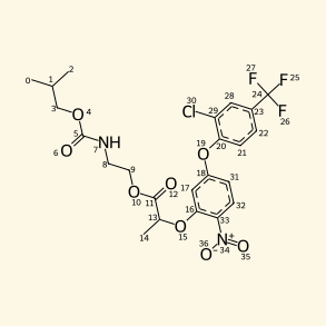 CC(C)COC(=O)NCCOC(=O)C(C)Oc1cc(Oc2ccc(C(F)(F)F)cc2Cl)ccc1[N+](=O)[O-]